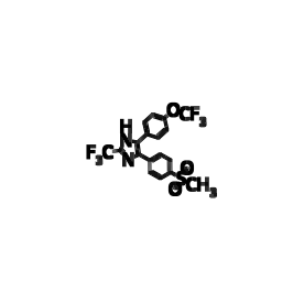 CS(=O)(=O)c1ccc(-c2nc(C(F)(F)F)[nH]c2-c2ccc(OC(F)(F)F)cc2)cc1